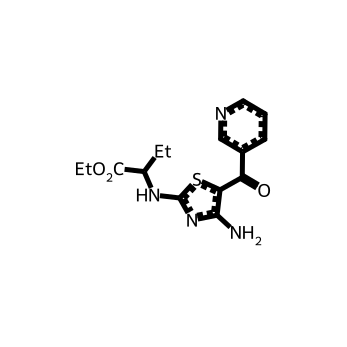 CCOC(=O)C(CC)Nc1nc(N)c(C(=O)c2cccnc2)s1